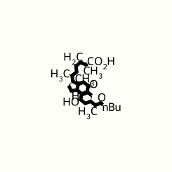 C=C(CC[C@@H](C)[C@H]1CC[C@H]2C3=C(C[C@H]([C@H](C)C(=O)CCCC)C[C@@H]3O)C(=O)C[C@]12C)C(C)C(=O)O